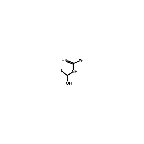 CCC(=N)NC(O)I